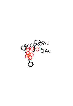 CC(=O)OC[C@H]1O[C@](O)(CCOP(=O)(OCc2ccccc2)OCc2ccccc2)[C@H](OC(C)=O)[C@@H](OC(C)=O)[C@@H]1OC(C)=O